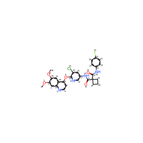 COc1cc2nccc(Oc3ncc(NC(=O)C4(C(=O)Nc5ccc(F)cc5)CCC4)cc3Cl)c2cc1OC